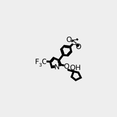 CS(=O)(=O)c1ccc(-c2cc(C(F)(F)F)cnc2OCC2(O)CCCC2)cc1